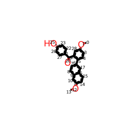 COc1ccc(-c2ccc3cc(OC)ccc3c2)c(C(=O)c2ccc(O)cc2)c1